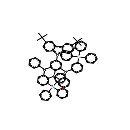 CC(C)(C)c1ccc2c(c1)c1cc(C(C)(C)C)ccc1n2-c1cc2c3c(c1)N(c1ccccc1)c1cccc([Si](c4ccccc4)(c4ccccc4)c4ccccc4)c1B3c1ccccc1N2c1cccc([Si](c2ccccc2)(c2ccccc2)c2ccccc2)c1